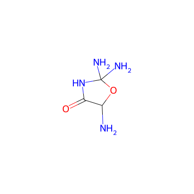 NC1OC(N)(N)NC1=O